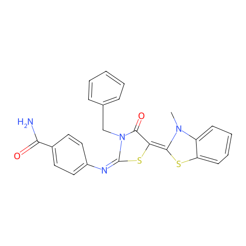 CN1C(=C2SC(=Nc3ccc(C(N)=O)cc3)N(Cc3ccccc3)C2=O)Sc2ccccc21